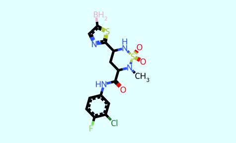 Bc1cnc(C2CC(C(=O)Nc3ccc(F)c(Cl)c3)N(C)S(=O)(=O)N2)s1